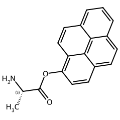 C[C@H](N)C(=O)Oc1ccc2ccc3cccc4ccc1c2c34